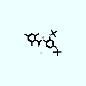 Cc1cc(C)c(C(=O)Pc2ccc(OC(C)(C)C)cc2OC(C)(C)C)c(C)c1.[Li]